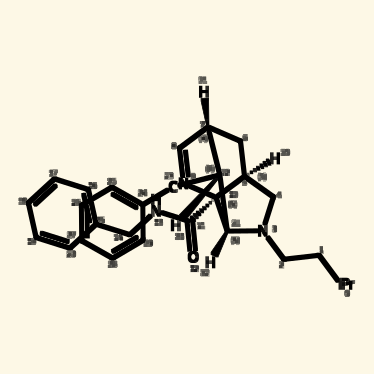 CC(C)CCN1C[C@@H]2C[C@H]3C=N[C@]2(C(=O)NCc2ccccc2)[C@@H]1[C@@H]3Cc1ccccc1